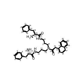 N[C@@H](Cc1ccccc1)C(=O)NCCCN(CCCNC(=O)[C@@H](N)Cc1ccccc1)C(=O)Cc1cccc2ccccc12